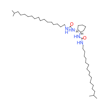 CC(C)CCCCCCCCCCCCCCCNC(=O)N[C@@H]1CCCC[C@H]1NC(=O)NCCCCCCCCCCCCCCCC(C)C